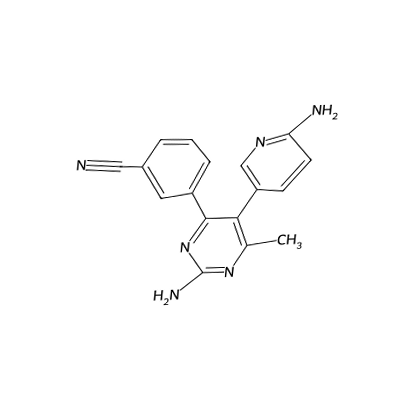 Cc1nc(N)nc(-c2cccc(C#N)c2)c1-c1ccc(N)nc1